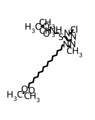 Cc1nc2nc(Cl)nc(SCCNC(=O)OC(C)(C)C)c2n1CCCCCCCCCCCCCCCC(=O)OC(C)C